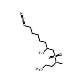 COCCN(C)S(=O)(=O)CC(O)CCCCCN=[N+]=[N-]